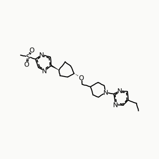 CCc1cnc(N2CCC(CO[C@H]3CC[C@H](c4cnc(S(C)(=O)=O)cn4)CC3)CC2)nc1